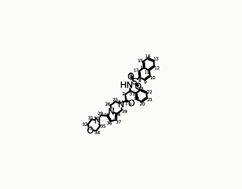 O=C(CC(NS(=O)(=O)c1ccc2ccccc2c1)c1ccccc1)N1CCn2c(CN3CCOCC3)ccc2C1